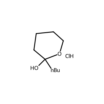 CCCCC1(O)CCCCO1.Cl